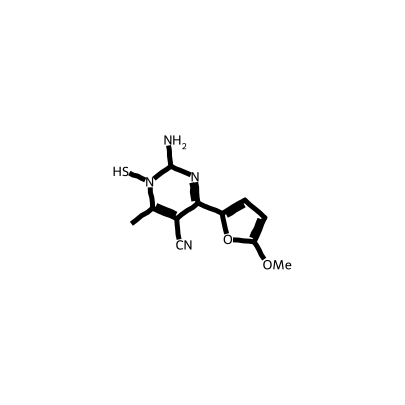 COc1ccc(C2=NC(N)N(S)C(C)=C2C#N)o1